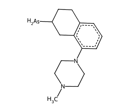 CN1CCN(c2cccc3c2CC([AsH2])CC3)CC1